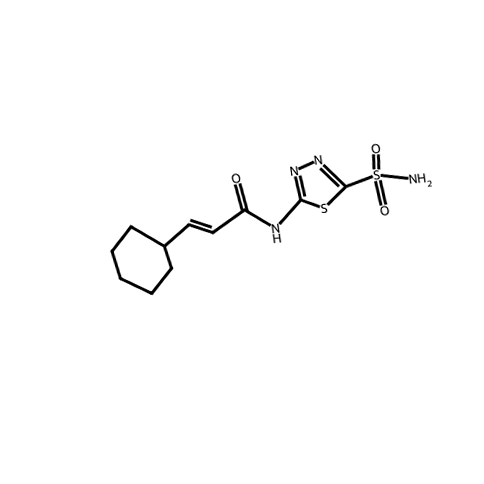 NS(=O)(=O)c1nnc(NC(=O)C=CC2CCCCC2)s1